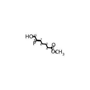 COC(=O)CCCC=C(F)CO